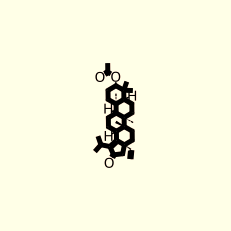 C=C[C@@]12CC[C@]3(C)[C@H](CC[C@@H]4[C@@]5(C)CC[C@H](OC(C)=O)C(C)(C)[C@H]5CC[C@]43C)C1=C(C(C)C)C(=O)C2